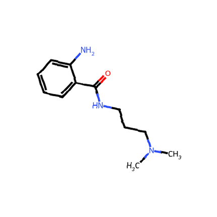 CN(C)CCCNC(=O)c1ccccc1N